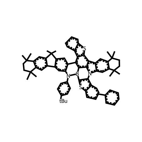 CC(C)(C)c1ccc(N2B3c4sc5ccc(-c6ccccc6)cc5c4-n4c5cc6c(cc5c5c7sc8ccccc8c7c(c3c54)-c3cc4c(cc32)-c2cc3c(cc2C4(C)C)C(C)(C)CCC3(C)C)C(C)(C)CCC6(C)C)cc1